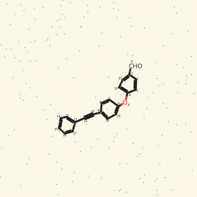 O=Cc1ccc(Oc2ccc(C#Cc3ccccc3)cc2)cc1